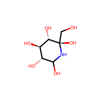 OC[C@]1(O)NC(O)[C@H](O)[C@@H](O)[C@@H]1O